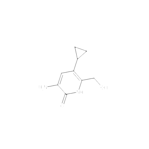 Nc1cc(C2CC2)c(CO)[nH]c1=O